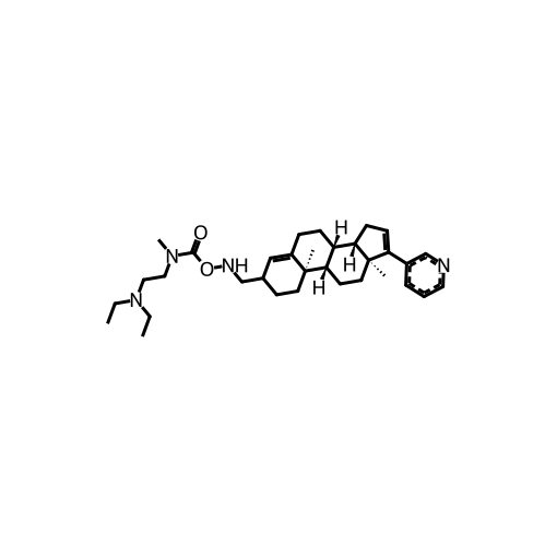 CCN(CC)CCN(C)C(=O)ONCC1C=C2CC[C@H]3[C@H](CC[C@]4(C)C(c5cccnc5)=CC[C@@H]34)[C@@]2(C)CC1